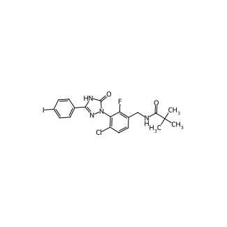 CC(C)(C)C(=O)NCc1ccc(Cl)c(-n2nc(-c3ccc(I)cc3)[nH]c2=O)c1F